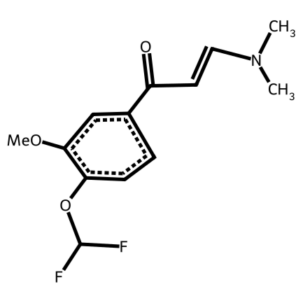 COc1cc(C(=O)/C=C/N(C)C)ccc1OC(F)F